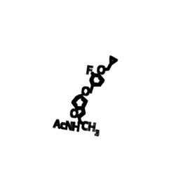 CC(=O)NC(C)c1cc2cc(OCc3ccc(OCC4CC4)c(F)c3)ccc2o1